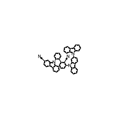 N#Cc1ccc2c3ccccc3n(-c3ccccc3-c3cccc(-n4c5ccccc5c5ccc(-n6c7ccccc7c7ccccc76)cc54)c3C#N)c2c1